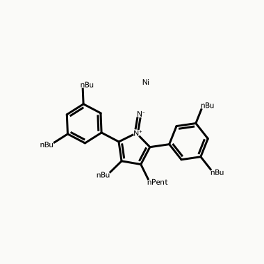 CCCCCC1=C(c2cc(CCCC)cc(CCCC)c2)[N+](=[N-])C(c2cc(CCCC)cc(CCCC)c2)=C1CCCC.[Ni]